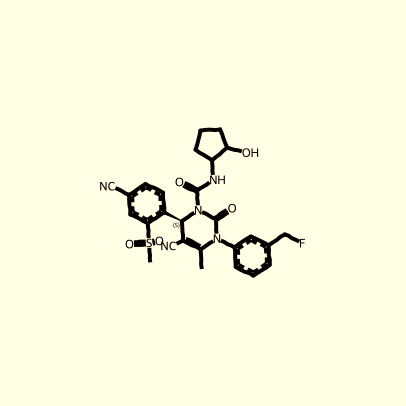 CC1=C(C#N)[C@@H](c2ccc(C#N)cc2S(C)(=O)=O)N(C(=O)NC2CCCC2O)C(=O)N1c1cccc(CF)c1